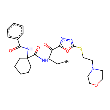 CC(C)CC(NC(=O)C1(NC(=O)c2ccccc2)CCCCC1)C(=O)c1nnc(SCCN2CCOCC2)o1